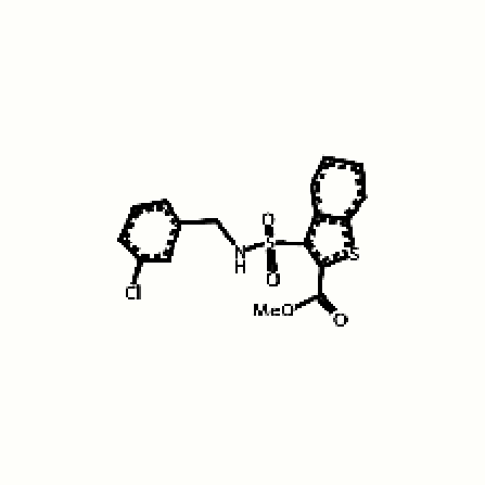 COC(=O)c1sc2ccccc2c1S(=O)(=O)NCc1cccc(Cl)c1